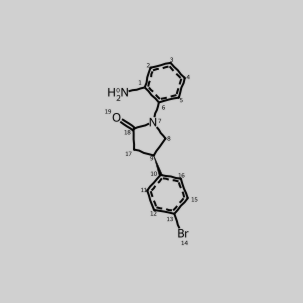 Nc1ccccc1N1C[C@@H](c2ccc(Br)cc2)CC1=O